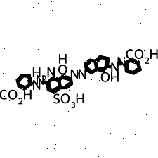 Nc1c(/N=N/c2ccccc2C(=O)O)cc(S(=O)(=O)O)c2ccc(/N=N/c3ccc4ccc(/N=N/c5ccccc5C(=O)O)c(O)c4c3)c(O)c12